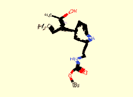 C=C/C(=C(\C)O)c1ccnc(CNC(=O)OC(C)(C)C)c1